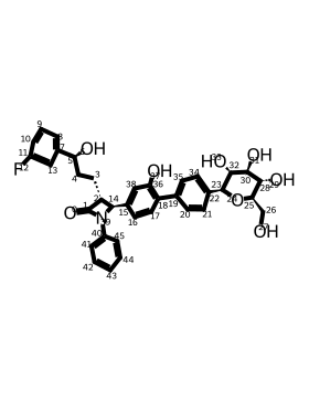 O=C1[C@H](CC[C@H](O)c2cccc(F)c2)[C@@H](c2ccc(-c3ccc([C@@H]4O[C@H](CO)[C@@H](O)[C@H](O)[C@H]4O)cc3)c(O)c2)N1c1ccccc1